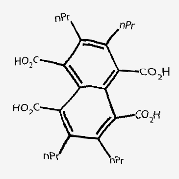 CCCc1c(CCC)c(C(=O)O)c2c(C(=O)O)c(CCC)c(CCC)c(C(=O)O)c2c1C(=O)O